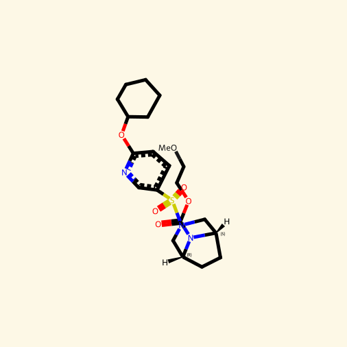 COCCOC(=O)N1[C@@H]2CC[C@H]1CN(S(=O)(=O)c1ccc(OC3CCCCC3)nc1)C2